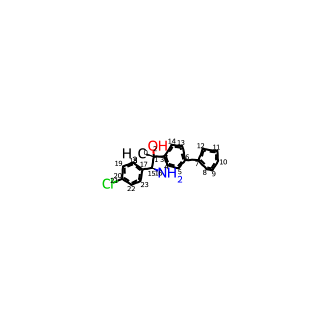 C[C@@](O)(c1ccc(-c2ccccc2)cc1)[C@@H](N)c1ccc(Cl)cc1